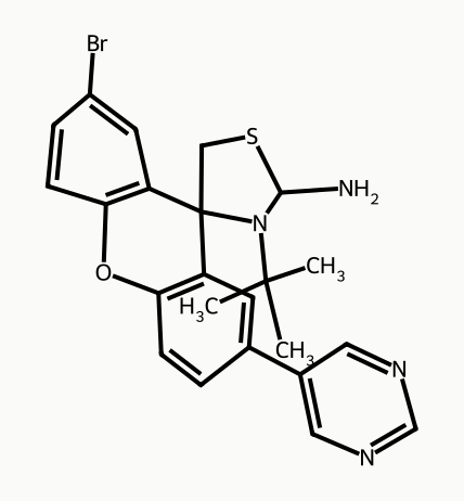 CC(C)(C)N1C(N)SCC12c1cc(Br)ccc1Oc1ccc(-c3cncnc3)cc12